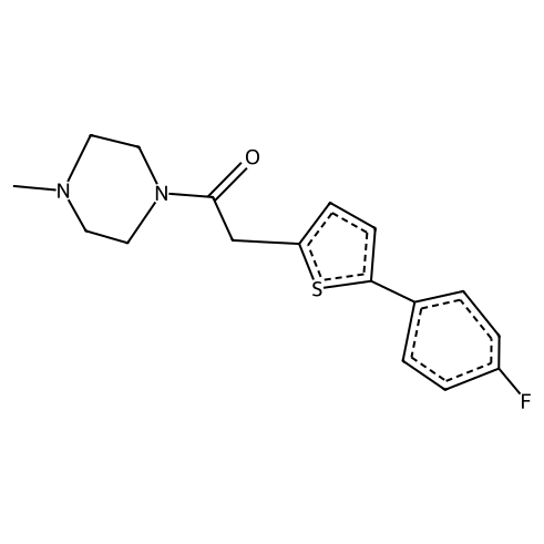 CN1CCN(C(=O)Cc2ccc(-c3ccc(F)cc3)s2)CC1